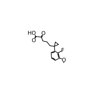 COc1cccc(C2(CCCC(=O)C(=O)O)CC2)c1F